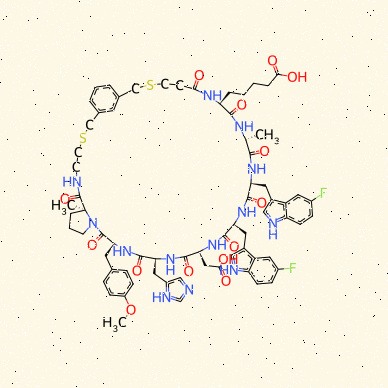 COc1ccc(C[C@@H]2NC(=O)[C@H](Cc3cnc[nH]3)NC(=O)[C@H](CC(=O)O)NC(=O)[C@H](Cc3c[nH]c4ccc(F)cc34)NC(=O)[C@H](Cc3c[nH]c4ccc(F)cc34)NC(=O)[C@@H](C)NC(=O)[C@H](CCCCC(=O)O)NC(=O)CCSCc3cccc(c3)CSCCNC(=O)[C@]3(C)CCCN3C2=O)cc1